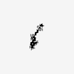 CC(C)(C)OC(=O)NCCCCNc1ccc(-c2ccc(C(F)(F)F)cc2C(F)(F)F)nn1